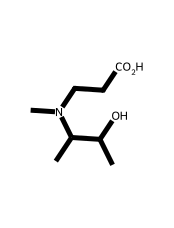 CC(O)C(C)N(C)CCC(=O)O